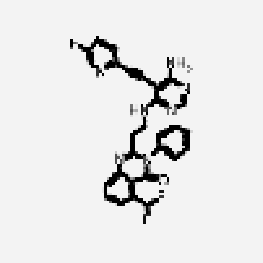 Nc1ncnc(NCCc2nc3cccc(C(F)F)c3c(=O)n2-c2ccccc2)c1C#Cc1ccc(F)cn1